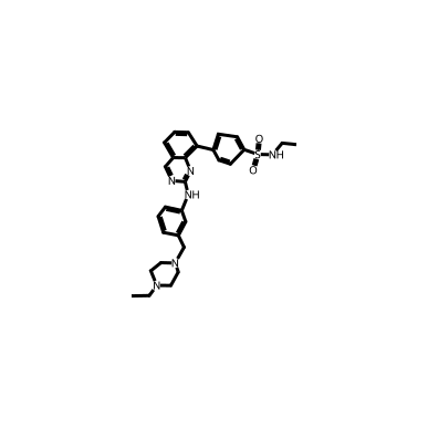 CCNS(=O)(=O)c1ccc(-c2cccc3cnc(Nc4cccc(CN5CCN(CC)CC5)c4)nc23)cc1